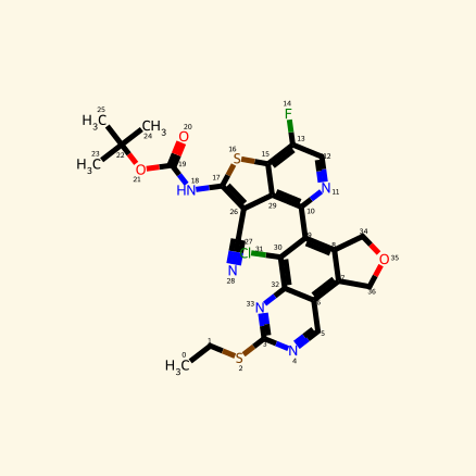 CCSc1ncc2c3c(c(-c4ncc(F)c5sc(NC(=O)OC(C)(C)C)c(C#N)c45)c(Cl)c2n1)COC3